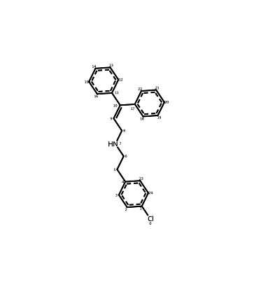 Clc1ccc(CCNCC=C(c2ccccc2)c2ccccc2)cc1